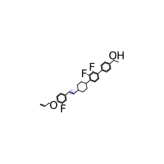 C=CCOc1ccc(/C=C/C2CCC(c3ccc(-c4ccc(C(C)O)cc4)c(F)c3F)CC2)cc1F